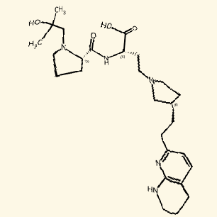 CC(C)(O)CN1CCC[C@H]1C(=O)N[C@@H](CCN1CC[C@@H](CCc2ccc3c(n2)NCCC3)C1)C(=O)O